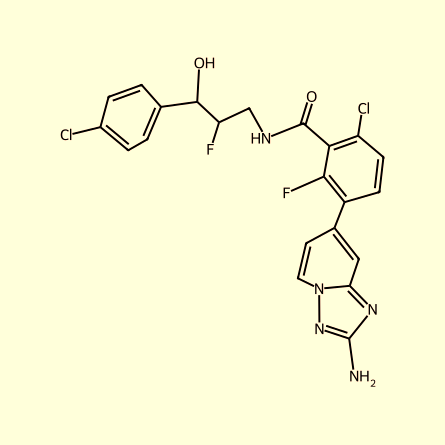 Nc1nc2cc(-c3ccc(Cl)c(C(=O)NCC(F)C(O)c4ccc(Cl)cc4)c3F)ccn2n1